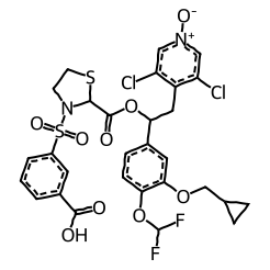 O=C(O)c1cccc(S(=O)(=O)N2CCSC2C(=O)OC(Cc2c(Cl)c[n+]([O-])cc2Cl)c2ccc(OC(F)F)c(OCC3CC3)c2)c1